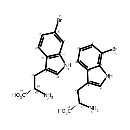 N[C@@H](Cc1c[nH]c2c(Br)cccc12)C(=O)O.N[C@@H](Cc1c[nH]c2cc(Br)ccc12)C(=O)O